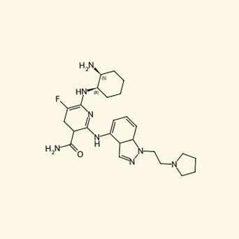 NC(=O)C1CC(F)=C(N[C@@H]2CCCC[C@@H]2N)N=C1NC1=CC=CC2C1C=NN2CCN1CCCC1